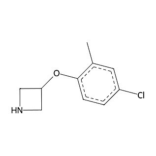 Cc1cc(Cl)ccc1OC1CNC1